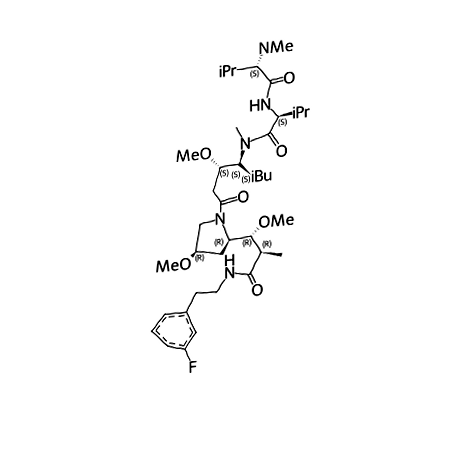 CC[C@H](C)[C@@H]([C@H](CC(=O)N1C[C@H](OC)C[C@@H]1[C@H](OC)[C@@H](C)C(=O)NCCc1cccc(F)c1)OC)N(C)C(=O)[C@@H](NC(=O)[C@@H](NC)C(C)C)C(C)C